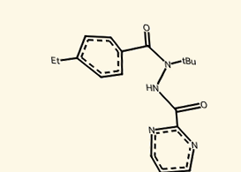 CCc1ccc(C(=O)N(NC(=O)c2ncccn2)C(C)(C)C)cc1